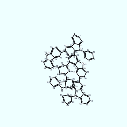 c1ccc(-n2c3ccccc3c3cc(-c4ccc5oc6cccc(-c7nc(-c8cccc9oc%10ccccc%10c89)nc(-c8cccc9oc%10ccc(-c%11ccc%12c(c%11)c%11ccccc%11n%12-c%11ccccc%11)cc%10c89)n7)c6c5c4)ccc32)cc1